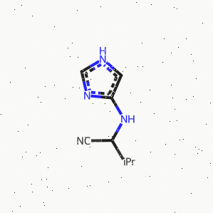 CC(C)C(C#N)Nc1c[nH]cn1